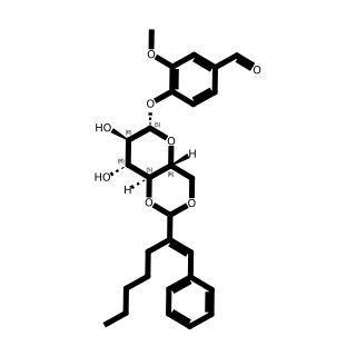 CCCCCC(=Cc1ccccc1)C1OC[C@H]2O[C@@H](Oc3ccc(C=O)cc3OC)[C@H](O)[C@@H](O)[C@@H]2O1